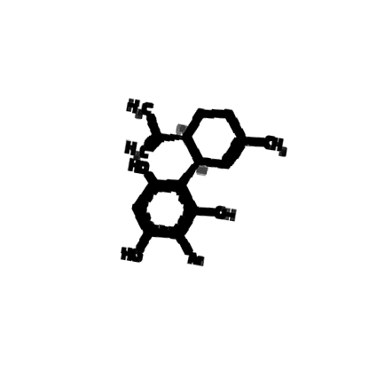 C=C(C)[C@@H]1CCC(C)=C[C@H]1c1c(O)cc(O)c(C(C)=O)c1O